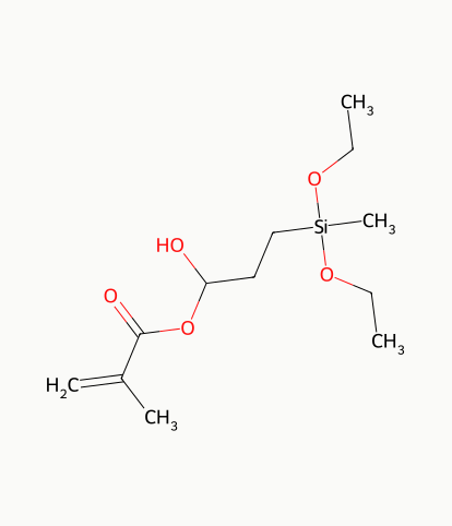 C=C(C)C(=O)OC(O)CC[Si](C)(OCC)OCC